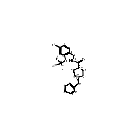 O=C(NCc1ccc(F)cc1OC(F)(F)F)N1CCN(Cc2ccccc2)CC1